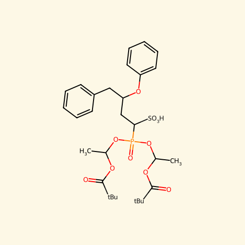 CC(OC(=O)C(C)(C)C)OP(=O)(OC(C)OC(=O)C(C)(C)C)C(CC(Cc1ccccc1)Oc1ccccc1)S(=O)(=O)O